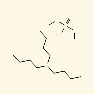 CCCCN(CCCC)CCCC.O=P(O)(OF)OCl